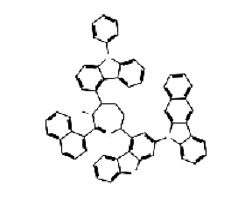 C[C@@H]1C(c2cccc3ccccc23)=NC(c2cc(-n3c4ccccc4c4cc5ccccc5cc43)cc3oc4ccccc4c23)CCC1c1cccc2c1c1ccccc1n2-c1ccccc1